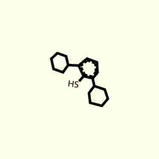 Sc1c(C2CCCCC2)cccc1C1CCCCC1